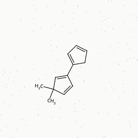 CC1(C)C=CC(C2=CC=CC2)=C1